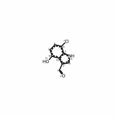 O=Cc1c[nH]c2c(Cl)ccc(O)c12